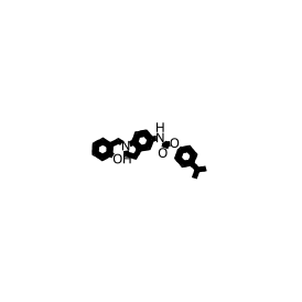 CC(C)c1ccc(OC(=O)Nc2ccc3c(c2)CCN3Cc2ccccc2O)cc1